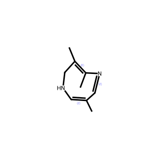 CC1=C/NC/C(C)=C(C)/N=C\1